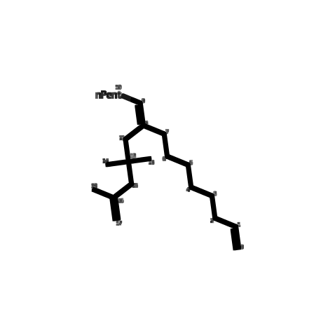 C=CCCCCCCC(=CCCCCC)CC(C)(C)CC(=C)C